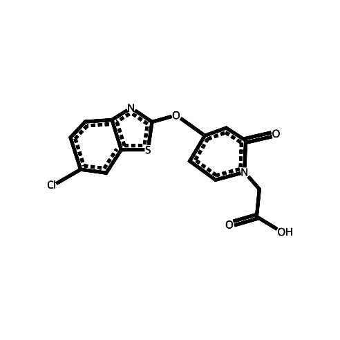 O=C(O)Cn1ccc(Oc2nc3ccc(Cl)cc3s2)cc1=O